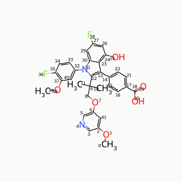 COc1cncc(OCC(C)(C)c2c(-c3ccc(C(=O)O)cc3)c3c(O)cc(F)cc3n2-c2ccc(F)c(OC)c2)c1